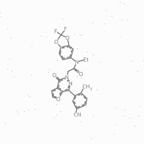 CCN(C(=O)Cn1nc(-c2cc(C#N)ccc2C)c2occc2c1=O)c1ccc2c(c1)OC(F)(F)O2